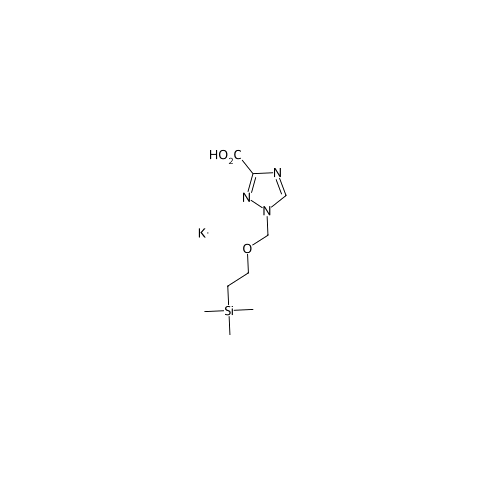 C[Si](C)(C)CCOCn1cnc(C(=O)O)n1.[K]